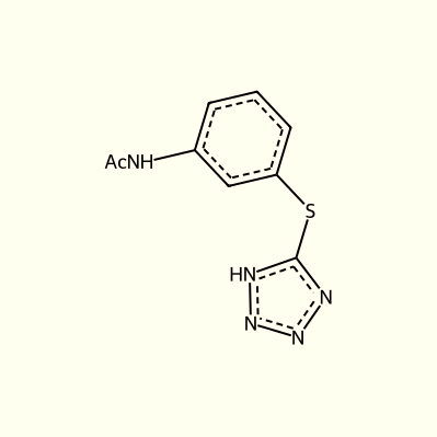 CC(=O)Nc1cccc(Sc2nnn[nH]2)c1